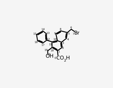 O=C(O)c1cc2cc(CBr)ccc2c(-c2ccccc2)c1CO